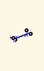 Ic1ccc2c(NCCCCNCCN(c3ccccc3)c3ccccc3)ccnc2c1